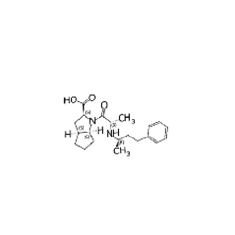 C[C@H](CCc1ccccc1)N[C@@H](C)C(=O)N1[C@H](C(=O)O)C[C@@H]2CCC[C@@H]21